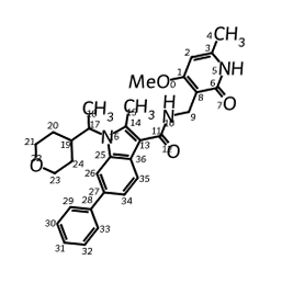 COc1cc(C)[nH]c(=O)c1CNC(=O)c1c(C)n(C(C)C2CCOCC2)c2cc(-c3ccccc3)ccc12